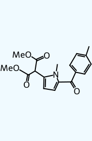 COC(=O)C(C(=O)OC)c1ccc(C(=O)c2ccc(C)cc2)n1C